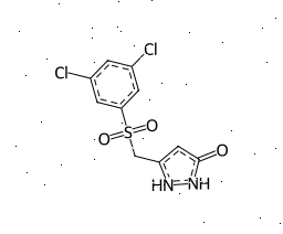 O=c1cc(CS(=O)(=O)c2cc(Cl)cc(Cl)c2)[nH][nH]1